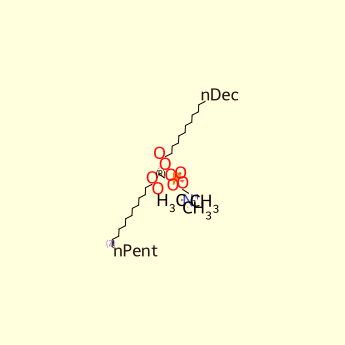 CCCCC/C=C\CCCCCCCCCCC(=O)O[C@H](COC(=O)CCCCCCCCCCCCCCCCCCCCC)COP(=O)([O-])OCC[N+](C)(C)C